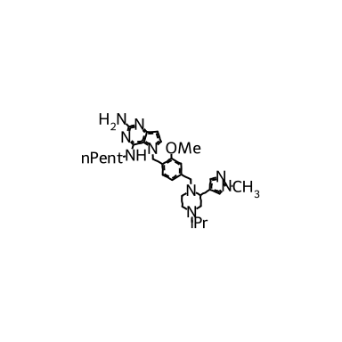 CCCCCNc1nc(N)nc2ccn(Cc3ccc(CN4CCN(C(C)C)CC4c4cnn(C)c4)cc3OC)c12